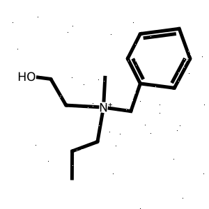 CCC[N+](C)(CCO)Cc1ccccc1